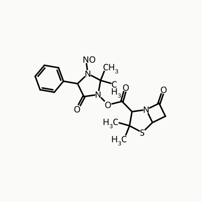 CC1(C)SC2CC(=O)N2C1C(=O)ON1C(=O)C(c2ccccc2)N(N=O)C1(C)C